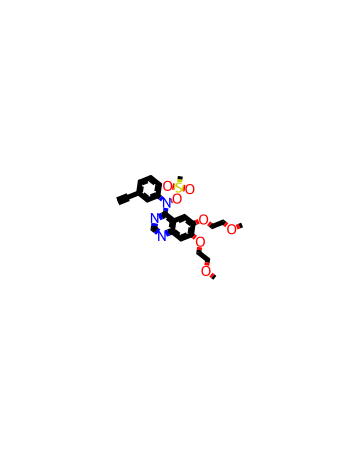 C#Cc1cccc(N(OS(C)(=O)=O)c2ncnc3cc(OCCOC)c(OCCOC)cc23)c1